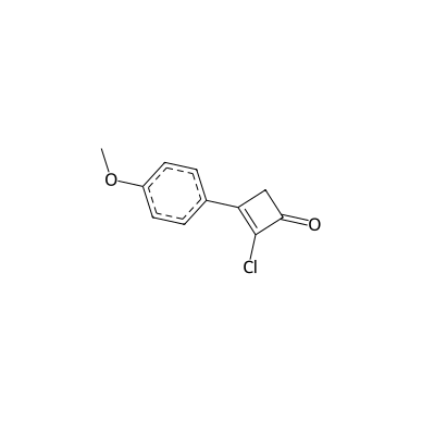 COc1ccc(C2=C(Cl)C(=O)C2)cc1